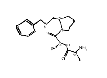 CC(C)[C@H](NC(=O)[C@H](C)N)C(=O)N1CCC[C@@H]1CNCc1ccccc1